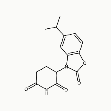 CC(C)c1ccc2oc(=O)n(C3CCC(=O)NC3=O)c2c1